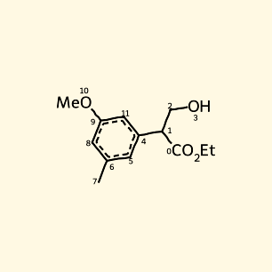 CCOC(=O)C(CO)c1cc(C)cc(OC)c1